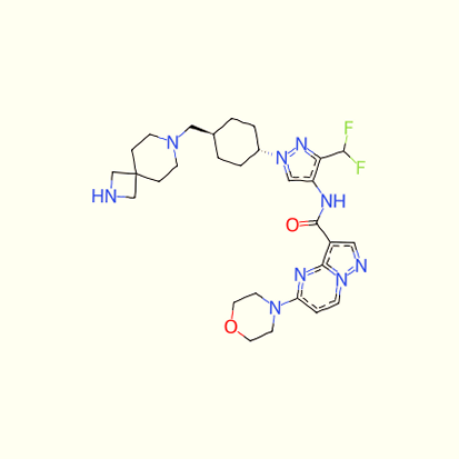 O=C(Nc1cn([C@H]2CC[C@H](CN3CCC4(CC3)CNC4)CC2)nc1C(F)F)c1cnn2ccc(N3CCOCC3)nc12